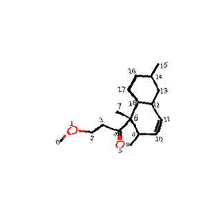 COCCC(=O)[C@@]1(C)C(C)C=CC2CC(C)CCC21